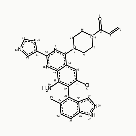 C=CC(=O)N1CCN(c2nc(-c3cncs3)nc3c(N)c(-c4c(C)ccc5[nH]ncc45)c(Cl)cc23)CC1